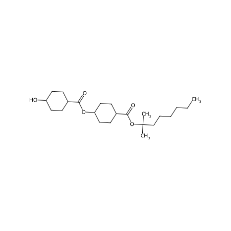 CCCCCCC(C)(C)OC(=O)C1CCC(OC(=O)C2CCC(O)CC2)CC1